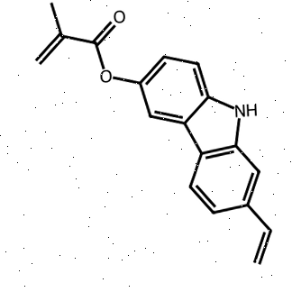 C=Cc1ccc2c(c1)[nH]c1ccc(OC(=O)C(=C)C)cc12